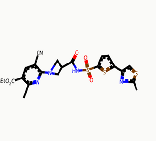 CCOC(=O)c1cc(C#N)c(N2CC(C(=O)NS(=O)(=O)c3ccc(-c4csc(C)n4)s3)C2)nc1C